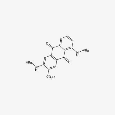 CCCCNc1cc2c(cc1C(=O)O)C(=O)c1c(NCCCC)cccc1C2=O